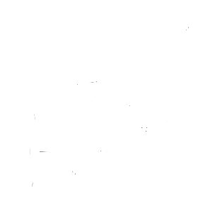 COc1ccc(C2CC2NC(=O)c2sc3nc(C)c(Cl)c(C)c3c2C2CC2)cc1